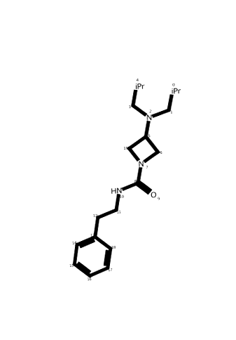 CC(C)CN(CC(C)C)C1CN(C(=O)NCCc2ccccc2)C1